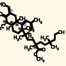 CCCC(C)(C)CC[C@@](C)(CCC(C)(C)[C@]1(C)CC[C@H]2[C@H](C)C(=O)/C(=C\O)C[C@]2(C)/C1=C/C(C)=O)C(=O)OC